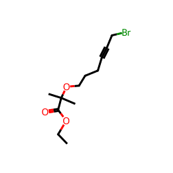 CCOC(=O)C(C)(C)OCCCC#CCBr